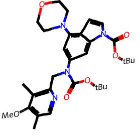 COc1c(C)cnc(CN(C(=O)OC(C)(C)C)c2cc(N3CCOCC3)c3ccn(C(=O)OC(C)(C)C)c3c2)c1C